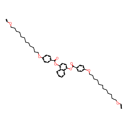 C=COCCCCCCCCCCCCOc1ccc(C(=O)Oc2ccc(OC(=O)c3ccc(OCCCCCCCCCCCCOC=C)cc3)c3ccccc23)cc1